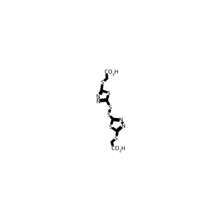 O=C(O)CSc1nnc(SSc2nnc(SCC(=O)O)s2)s1